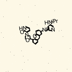 CC(C)Nc1cncc(CNc2ccc3c(c2)Cc2cccc(C4CN(c5ccc[nH]c5=O)CCO4)c2O3)c1